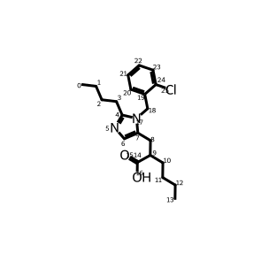 CCCCc1ncc(CC(CCCC)C(=O)O)n1Cc1ccccc1Cl